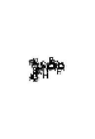 O=C(Nc1ccc(OC2CCCC2(F)F)c(F)c1)c1nc(N2CCCC2)oc1CC(F)(F)F